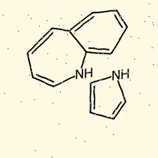 C1=CNc2ccccc2C=C1.c1cc[nH]c1